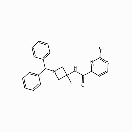 CC1(NC(=O)c2ccnc(Cl)n2)CN(C(c2ccccc2)c2ccccc2)C1